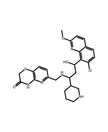 COc1ccc2ccc(Cl)c(C(O)CC(NCc3ccc4c(n3)NC(=O)CS4)C3CCCNC3)c2n1